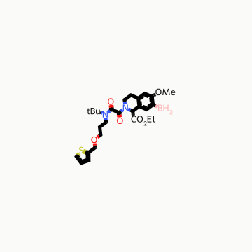 Bc1cc2c(cc1OC)CCN(C(=O)C(=O)N(CCCOCc1cccs1)C(C)(C)C)C2C(=O)OCC